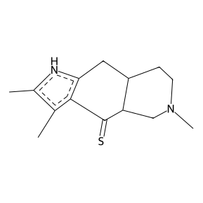 Cc1[nH]c2c(c1C)C(=S)C1CN(C)CCC1C2